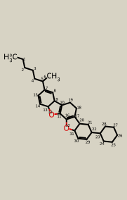 CCCCCC(C)C1=CC2C3=C(OC2C=C1)C1=C(CC3)C2CC(C3CCCCC3)C=CC2O1